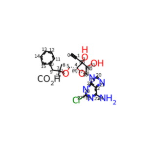 C#C[C@@]1(O)[C@@H](CO[C@@](C)(Cc2ccccc2)C(=O)O)O[C@@H](n2cnc3c(N)nc(Cl)nc32)[C@@H]1O